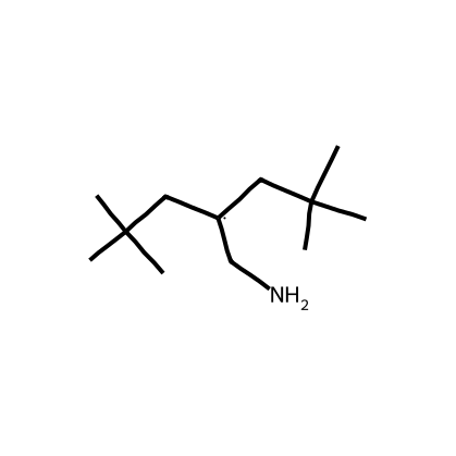 CC(C)(C)C[C](CN)CC(C)(C)C